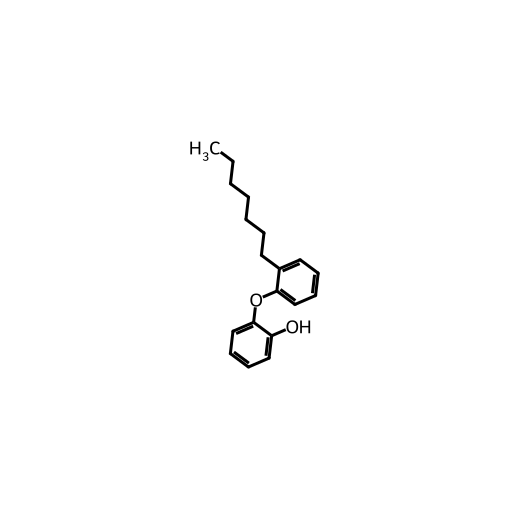 CCCCCCCc1ccccc1Oc1ccccc1O